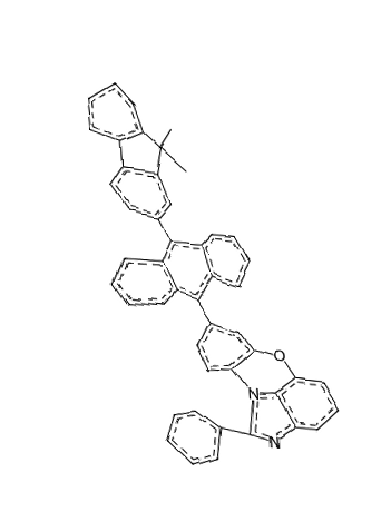 CC1(C)c2ccccc2-c2ccc(-c3c4ccccc4c(-c4ccc5c(c4)Oc4cccc6nc(-c7ccccc7)n-5c46)c4ccccc34)cc21